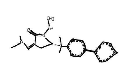 CN(C)/C=C1/C[C@@H](C(C)(C)c2ccc(-c3ccccc3)cc2)N(BC=O)C1=O